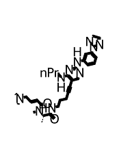 CCCNc1nc(Nc2cccc(-n3nccn3)c2)ncc1C#CCCCNC(=O)[C@H](C)N(C)C(=O)/C=C/CN(C)C